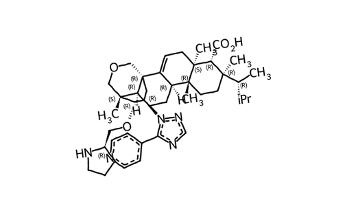 CC(C)[C@@H](C)[C@@]1(C)CC[C@]2(C)[C@H]3CC[C@@H]4[C@@]5(COC[C@@]4(C)[C@@H](OC[C@H]4CCCN4)[C@H](n4ncnc4-c4ccncc4)C5)C3=CC[C@@]2(C)[C@@H]1C(=O)O